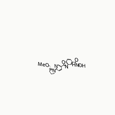 COC[C@H]1CCCN1c1ccc(-c2nc3cc(C(=O)NO)ccc3o2)cn1